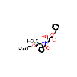 COCCOC[C@@H](CC1(C(=O)NC[C@H](O)C(=O)OCc2ccccc2)CCCC1)C(=O)O